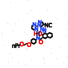 [C-]#[N+]c1cnn(-c2ncccn2)c1/N=N/c1c(O)c(C(=O)Nc2ccc(OCCOCCC)cc2)cc2ccccc12